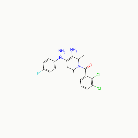 CC1CC(N(N)c2ccc(F)cc2)=C(N)C(C)N1C(=O)c1cccc(Cl)c1Cl